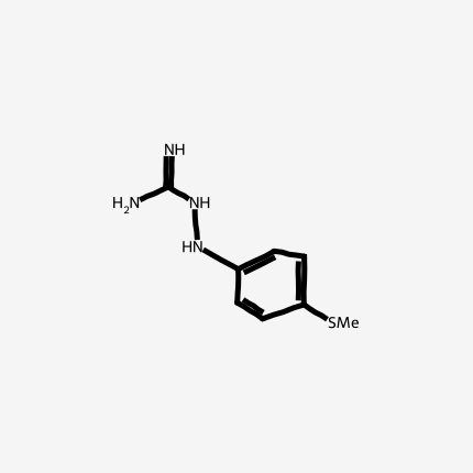 CSc1ccc(NNC(=N)N)cc1